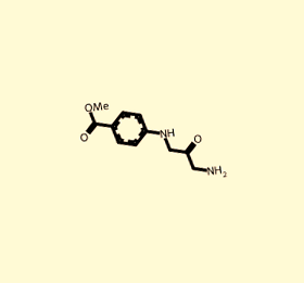 COC(=O)c1ccc(NCC(=O)CN)cc1